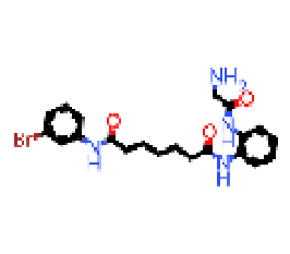 NCC(=O)Nc1ccccc1NC(=O)CCCCCC(=O)Nc1cccc(Br)c1